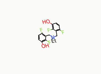 CCN(Cc1c(F)ccc(O)c1F)Cc1c(F)ccc(O)c1F